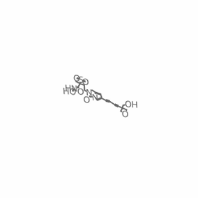 CC(CCN1Cc2cc(C#CC#CC3(CO)COC3)cn2C1=O)(C(=O)NO)S(C)(=O)=O